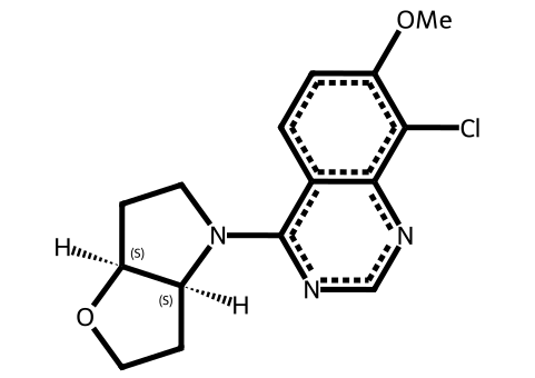 COc1ccc2c(N3CC[C@@H]4OCC[C@@H]43)ncnc2c1Cl